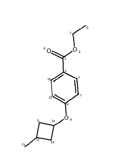 CCOC(=O)c1ccc(OC2CC(C)C2)cc1